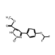 COC(=O)C1=CC(c2ccc(OC(F)F)cc2)=N[S+]([O-])N1